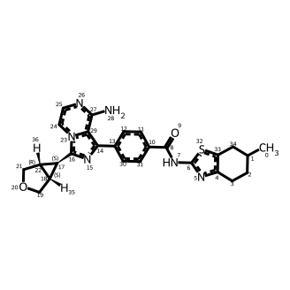 CC1CCc2nc(NC(=O)c3ccc(-c4nc([C@H]5[C@@H]6COC[C@@H]65)n5ccnc(N)c45)cc3)sc2C1